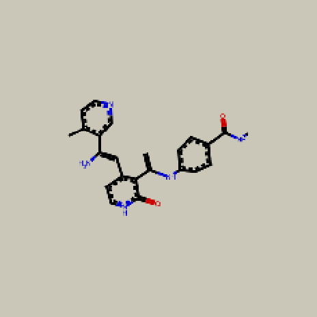 C=C(Nc1ccc(C(=O)NC)cc1)c1c(/C=C(\N)c2cnccc2C)cc[nH]c1=O